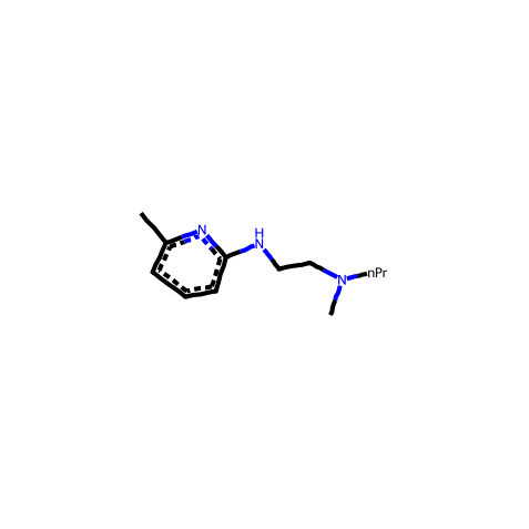 CCCN(C)CCNc1cccc(C)n1